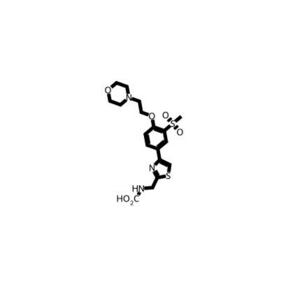 CS(=O)(=O)c1cc(-c2csc(CNC(=O)O)n2)ccc1OCCN1CCOCC1